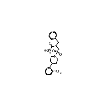 O=C(NO)C(Cc1ccccc1)CS(=O)(=O)N1CCC(c2ccccc2C(F)(F)F)CC1